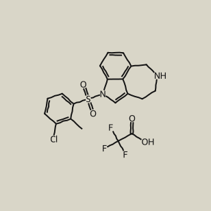 Cc1c(Cl)cccc1S(=O)(=O)n1cc2c3c(cccc31)CNCC2.O=C(O)C(F)(F)F